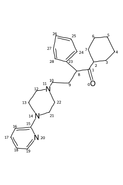 O=C(C1CCCCC1)C(CCN1CCN(c2ccccn2)CC1)c1ccccc1